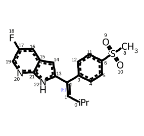 CC(C)/C=C(\c1ccc(S(C)(=O)=O)cc1)c1cc2cc(F)cnc2[nH]1